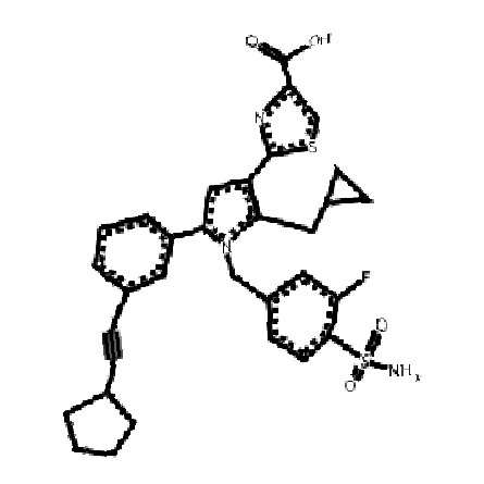 NS(=O)(=O)c1ccc(Cn2c(-c3cccc(C#CC4CCCC4)c3)cc(-c3nc(C(=O)O)cs3)c2CC2CC2)cc1F